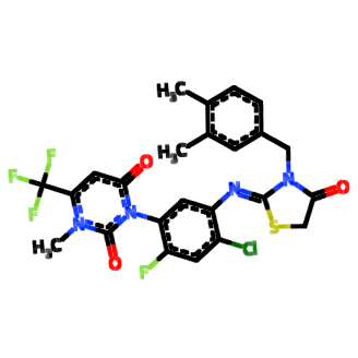 Cc1ccc(CN2C(=O)CS/C2=N\c2cc(-n3c(=O)cc(C(F)(F)F)n(C)c3=O)c(F)cc2Cl)cc1C